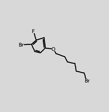 Fc1cc(OCCCCCCBr)ccc1Br